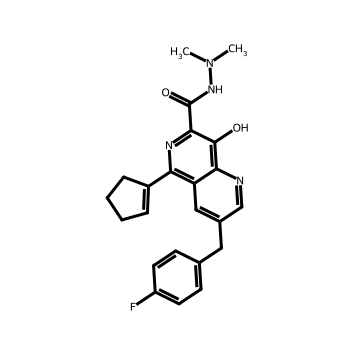 CN(C)NC(=O)c1nc(C2=CCCC2)c2cc(Cc3ccc(F)cc3)cnc2c1O